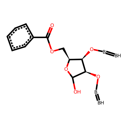 B=BO[C@@H]1[C@H](COC(=O)c2ccccc2)OC(O)[C@@H]1OB=B